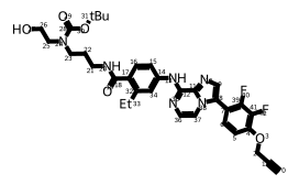 C#CCOc1ccc(-c2cnc3c(Nc4ccc(C(=O)NCCCN(CCO)C(=O)OC(C)(C)C)c(CC)c4)nccn23)c(F)c1F